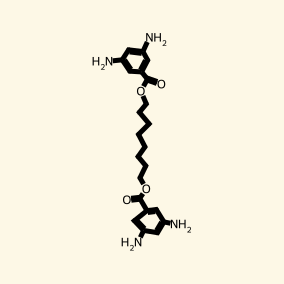 Nc1cc(N)cc(C(=O)OCCCCCCCCOC(=O)c2cc(N)cc(N)c2)c1